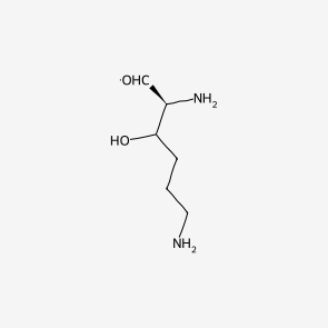 NCCCC(O)[C@H](N)[C]=O